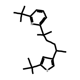 CC(CCC(C)(C)c1cccc(C(C)(C)C)n1)c1csc(C(C)(C)C)c1